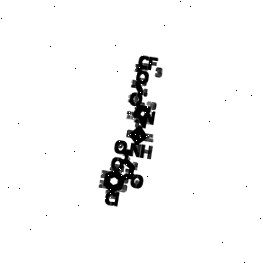 O=C1C[C@H](C(=O)NC23CC(n4cc(OCCOCC(F)(F)F)cn4)(C2)C3)Oc2ccc(Cl)cc21